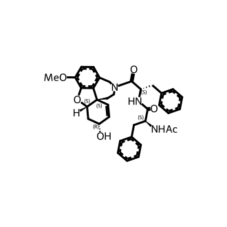 COc1ccc2c3c1O[C@H]1C[C@@H](O)C=C[C@@]31CCN(C(=O)[C@H](Cc1ccccc1)NC(=O)[C@H](Cc1ccccc1)NC(C)=O)C2